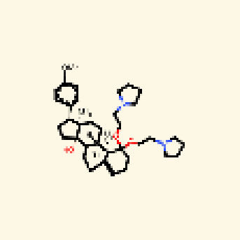 COc1ccc([C@@H]2CC[C@]3(O)[C@@H]4CCC5=CCCC(OCCN6CCCC6)(OCCN6CCCC6)[C@]5(C)[C@H]4CC[C@]23C)cc1